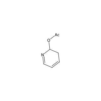 CC(=O)OC1CC=CC=N1